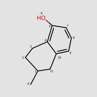 CC1CCc2c(O)cccc2C1